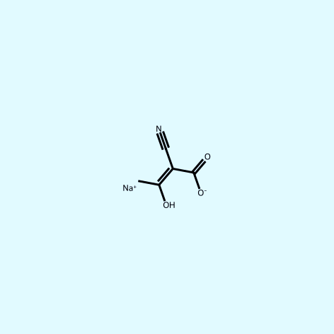 C/C(O)=C(\C#N)C(=O)[O-].[Na+]